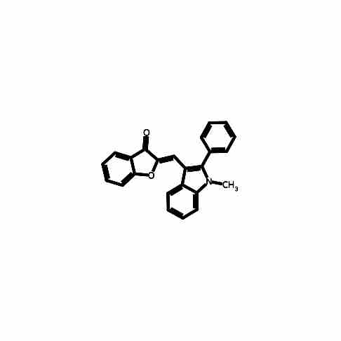 Cn1c(-c2ccccc2)c(C=C2Oc3ccccc3C2=O)c2ccccc21